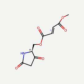 COC(=O)/C=C/C(=O)OC[C@@H]1NC(=O)CC1=O